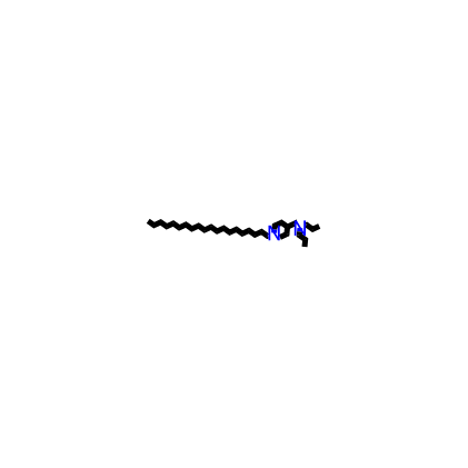 CCCCCCCCCCCCCCCCCCCCN1CCC(CN(CCC)CCC)CC1